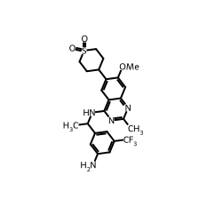 COc1cc2nc(C)nc(NC(C)c3cc(N)cc(C(F)(F)F)c3)c2cc1C1CCS(=O)(=O)CC1